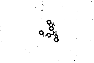 CC1(C)c2ccccc2-c2ccc(-c3nc4oc5ccccc5n4c3-c3ccc(Oc4ccccc4)cc3)cc21